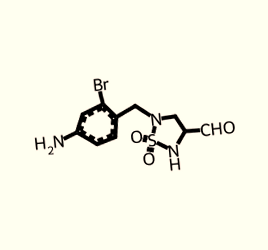 Nc1ccc(CN2CC(C=O)NS2(=O)=O)c(Br)c1